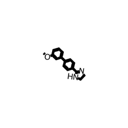 COc1cccc(-c2ccc(C3=NCCN3)cc2)c1